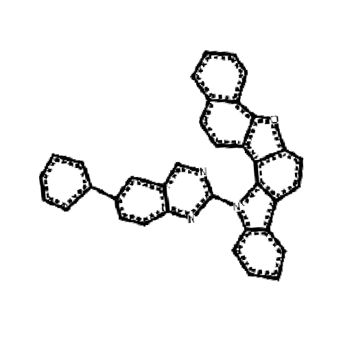 c1ccc(-c2ccc3nc(-n4c5ccccc5c5ccc6oc7c8ccccc8ccc7c6c54)ncc3c2)cc1